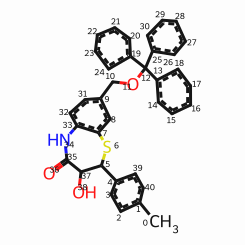 Cc1ccc(C2Sc3cc(COC(c4ccccc4)(c4ccccc4)c4ccccc4)ccc3NC(=O)C2O)cc1